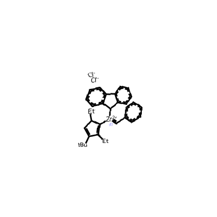 CCC1=[C](/[Zr+2](=[CH]/c2ccccc2)[CH]2c3ccccc3-c3ccccc32)C(CC)C=C1C(C)(C)C.[Cl-].[Cl-]